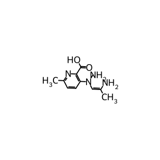 C/C(N)=C/N(N)c1ccc(C)nc1C(=O)O